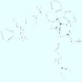 COc1ccccc1C(=O)NC1CCN(C(=O)[C@H]2CC[C@@](C(=O)N[C@@H](CCCCNC(=O)OC(C)C)C(=O)OC(C)C)(c3ccccc3)c3ccccc32)CC1